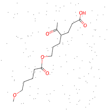 COCCCCC(=O)OCCCC(CCC(=O)O)C(C)=O